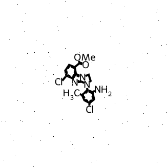 COC(=O)c1ccc(Cl)c2nc3n(c12)CCN3c1c(C)cc(Cl)cc1N